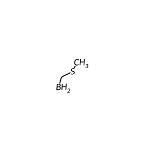 BCSC